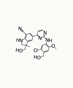 COc1cc(CO)c(Cl)cc1Nc1nccc(-c2cc(C#N)c3c(c2)C(C)(CO)CN3)n1